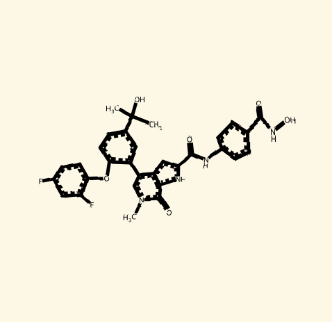 Cn1cc(-c2cc(C(C)(C)O)ccc2Oc2ccc(F)cc2F)c2cc(C(=O)Nc3ccc(C(=O)NO)cc3)[nH]c2c1=O